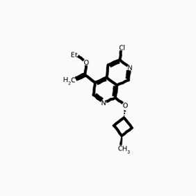 C=C(OCC)c1cnc(O[C@H]2C[C@H](C)C2)c2cnc(Cl)cc12